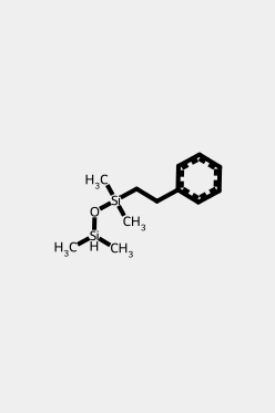 C[SiH](C)O[Si](C)(C)CCc1ccccc1